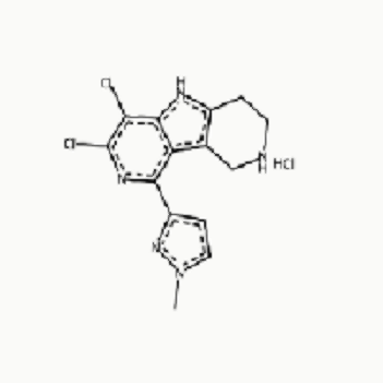 Cl.Cn1ccc(-c2nc(Cl)c(Cl)c3[nH]c4c(c23)CNCC4)n1